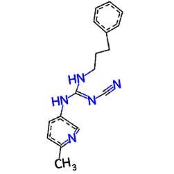 Cc1ccc(NC(=NC#N)NCCCc2ccccc2)cn1